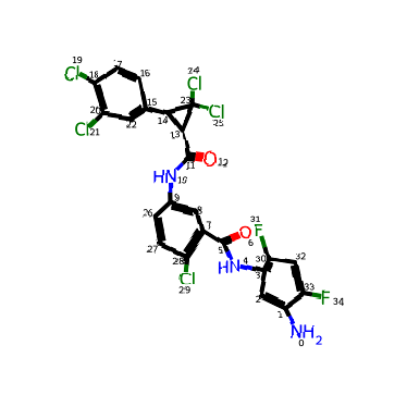 Nc1cc(NC(=O)c2cc(NC(=O)[C@H]3C(c4ccc(Cl)c(Cl)c4)C3(Cl)Cl)ccc2Cl)c(F)cc1F